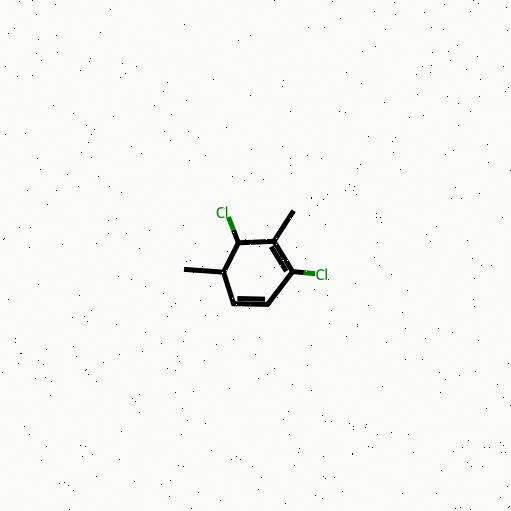 CC1=C(Cl)C=CC(C)C1Cl